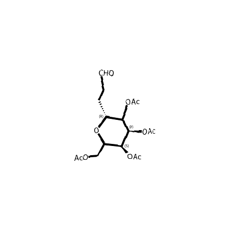 CC(=O)OCC1O[C@H](CCC=O)C(OC(C)=O)[C@@H](OC(C)=O)[C@H]1OC(C)=O